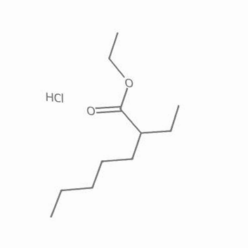 CCCCCC(CC)C(=O)OCC.Cl